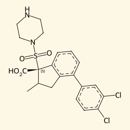 CC1Cc2c(-c3ccc(Cl)c(Cl)c3)cccc2[C@@]1(C(=O)O)S(=O)(=O)N1CCNCC1